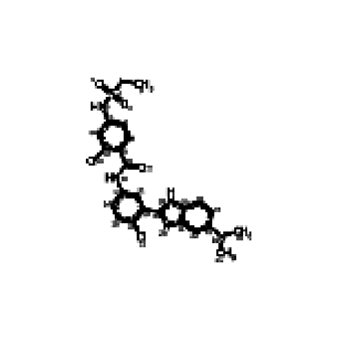 CCS(=O)(=O)Nc1ccc(C(=O)Nc2ccc(Cl)c(-c3nc4cc(N(C)C)ccc4[nH]3)c2)c(Cl)c1